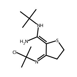 CC(C)(Cl)/N=C1/CCS/C1=C(/N)NC(C)(C)C